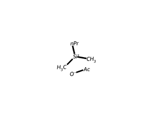 CC(=O)[O-].CCC[Si+](C)C